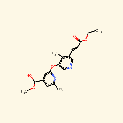 CCOC(=O)/C=C/c1cncc(Oc2cc(C(O)OC)cc(C)n2)c1C